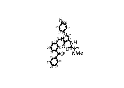 CNC(C)C(=O)Nc1cn(-c2ccc(F)cc2)n(Cc2cccc(C(=O)c3ccccc3)c2)c1=O